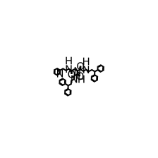 O=C(CN(C(=O)CNCCC(c1ccccc1)c1ccccc1)C(=O)CNCCC(c1ccccc1)c1ccccc1)NCCc1ccccn1